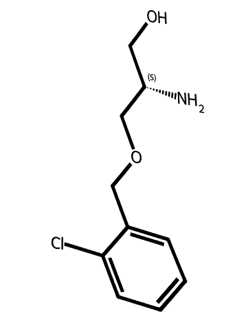 N[C@@H](CO)COCc1ccccc1Cl